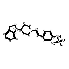 CS(=O)(=O)Nc1ccc(C=CN2CCC(N3CCc4ccccc43)CC2)cc1